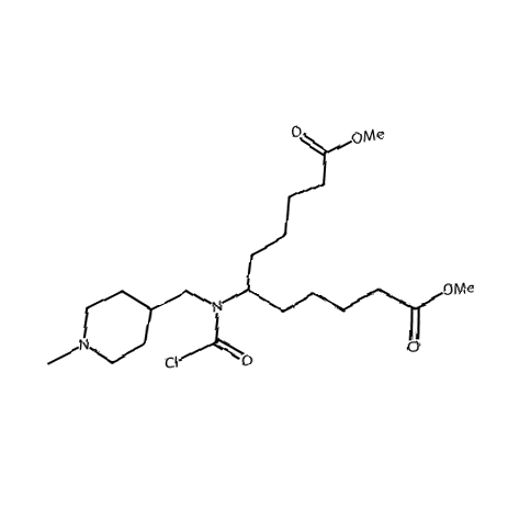 COC(=O)CCCCC(CCCCC(=O)OC)N(CC1CCN(C)CC1)C(=O)Cl